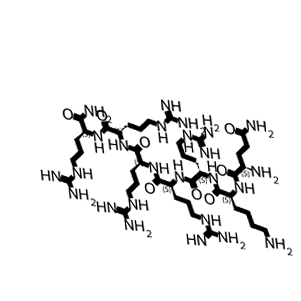 N=C(N)NCCC[C@H](NC(=O)[C@H](CCCNC(=N)N)NC(=O)[C@H](CCCNC(=N)N)NC(=O)[C@H](CCCNC(=N)N)NC(=O)[C@H](CCCNC(=N)N)NC(=O)[C@H](CCCCN)NC(=O)[C@@H](N)CCC(N)=O)C(N)=O